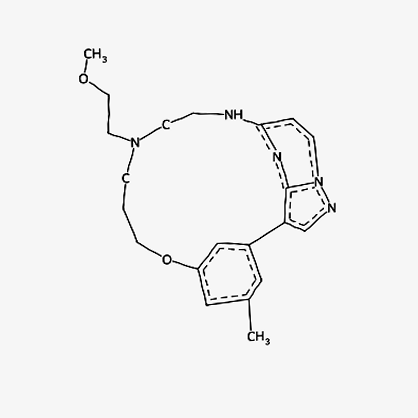 COCCN1CCCOc2cc(C)cc(c2)-c2cnn3ccc(nc23)NCC1